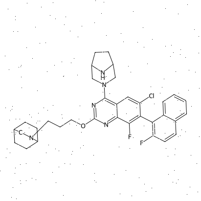 Fc1ccc2ccccc2c1-c1c(Cl)cc2c(N3CC4CCC(C3)N4)nc(OCCCN3CC4CCC3CC4)nc2c1F